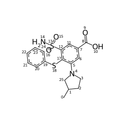 CC1CCN(c2cc(C(=O)O)cc(S(N)(=O)=O)c2Sc2ccccc2)C1